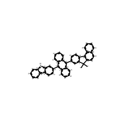 CC1(C)c2cc(-c3c4ccccc4c(-c4ccc5c(c4)sc4ccccc45)c4ccccc34)ccc2-c2c1ccc1ccccc21